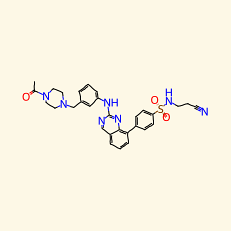 CC(=O)N1CCN(Cc2cccc(Nc3ncc4cccc(-c5ccc(S(=O)(=O)NCCC#N)cc5)c4n3)c2)CC1